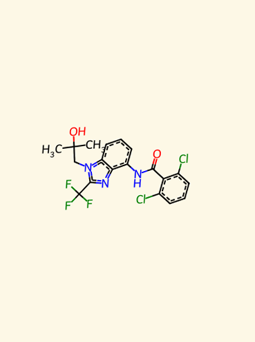 CC(C)(O)Cn1c(C(F)(F)F)nc2c(NC(=O)c3c(Cl)cccc3Cl)cccc21